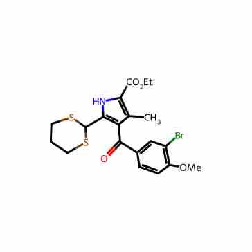 CCOC(=O)c1[nH]c(C2SCCCS2)c(C(=O)c2ccc(OC)c(Br)c2)c1C